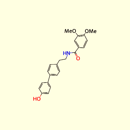 COc1ccc(C(=O)NCCc2ccc(-c3ccc(O)cc3)cc2)cc1OC